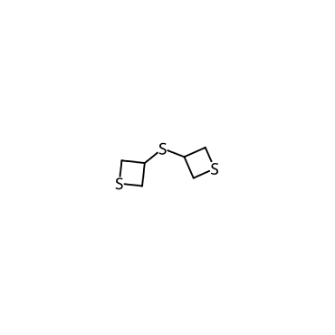 C1SCC1SC1CSC1